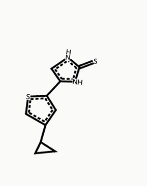 S=c1[nH]cc(-c2cc(C3CC3)cs2)[nH]1